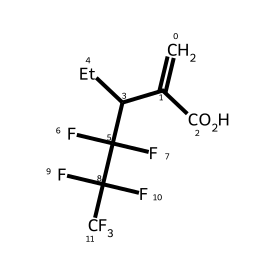 C=C(C(=O)O)C(CC)C(F)(F)C(F)(F)C(F)(F)F